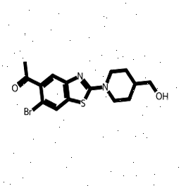 CC(=O)c1cc2nc(N3CCC(CO)CC3)sc2cc1Br